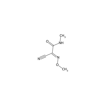 CNC(=O)C(C#N)=NOC